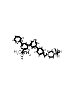 [2H]C([2H])([2H])N1CCN(Cc2ccc(-c3cncc(-c4cc(-c5ccccn5)nc(C(C)(C)O)c4)c3)cc2)CC1